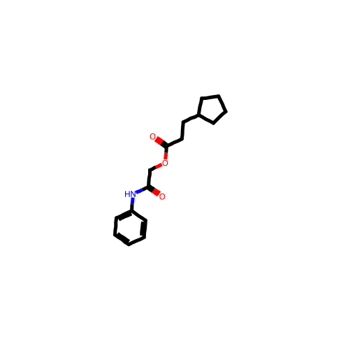 O=C(COC(=O)CCC1CCCC1)Nc1ccccc1